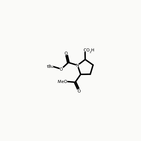 COC(=O)C1CCC(C(=O)O)N1C(=O)OC(C)(C)C